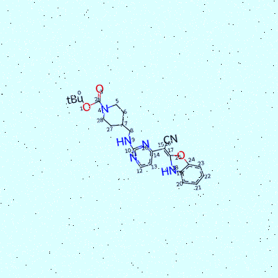 CC(C)(C)OC(=O)N1CCC(CNc2nccc(C(C#N)=C3Nc4ccccc4O3)n2)CC1